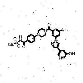 CC(C)(C)S(=O)(=O)NC(=O)c1ccc(N2CCN(C(=O)c3cc(-n4cc(-c5cncc(O)c5)cn4)cc(C(F)(F)F)c3)CC2)cc1